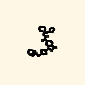 CN1C2CCC1CC(Oc1ccc(-c3n[nH]c4ccc(C(=O)NCC5(OC6CCCC6)CCCCC5)cc34)cc1)C2